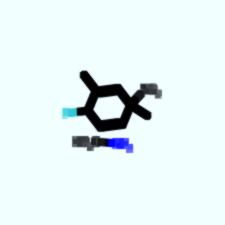 CC1=CC(C)([N+](=O)[O-])C=CC1F.NC(=O)O